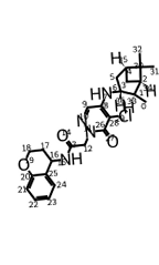 C[C@@H]1[C@H]2C[C@@H](C[C@H]1Nc1cnn(CC(=O)NC3CCOc4ccccc43)c(=O)c1Cl)C2(C)C